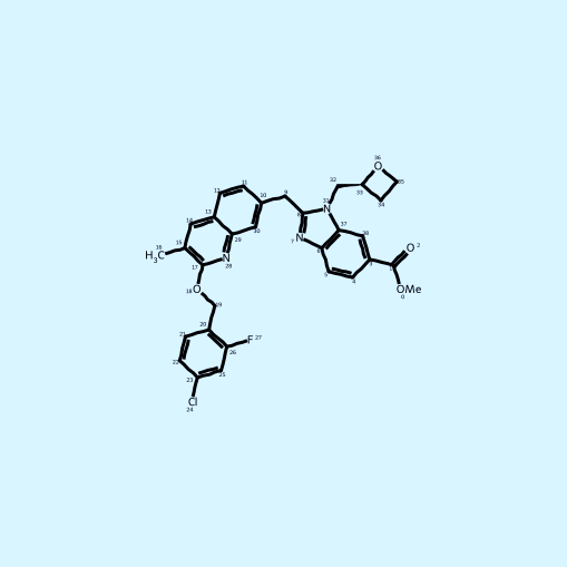 COC(=O)c1ccc2nc(Cc3ccc4cc(C)c(OCc5ccc(Cl)cc5F)nc4c3)n(C[C@@H]3CCO3)c2c1